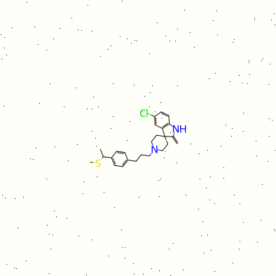 C=C1Nc2ccc(Cl)cc2C12CCN(CCCc1ccc(C(C)SC)cc1)CC2